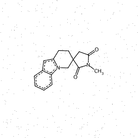 CN1C(=O)CC2(CCc3cc4ccccc4n3C2)C1=O